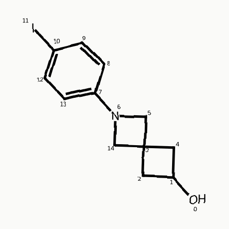 OC1CC2(C1)CN(c1ccc(I)cc1)C2